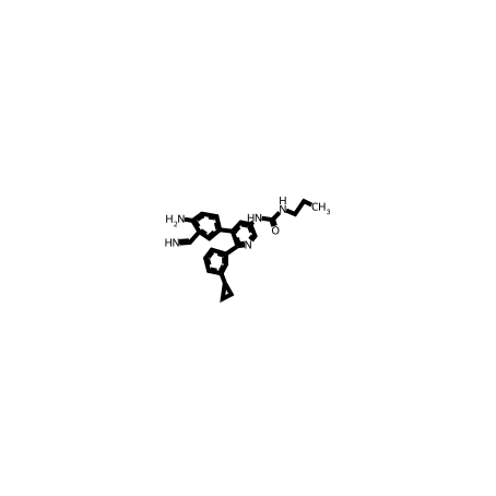 CCCNC(=O)Nc1cnc(-c2cccc(C3CC3)c2)c(-c2ccc(N)c(C=N)c2)c1